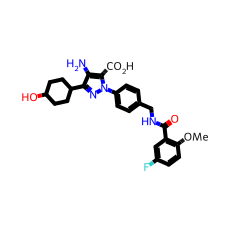 COc1ccc(F)cc1C(=O)NCc1ccc(-n2nc(C3CCC(O)CC3)c(N)c2C(=O)O)cc1